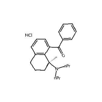 CCCN(CCC)[C@@]1(C)CCCc2cccc(C(=O)c3ccccc3)c21.Cl